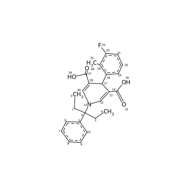 CCC(CC)(c1ccccc1)N1C=C(C(=O)O)C(c2cccc(F)c2C)C(C(=O)O)=C1